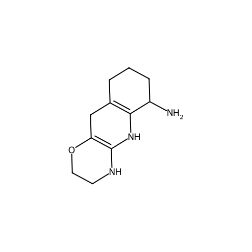 NC1CCCC2=C1NC1=C(C2)OCCN1